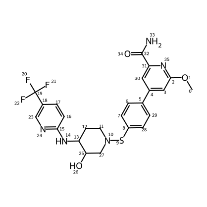 COc1cc(-c2ccc(SN3CCC(Nc4ccc(C(F)(F)F)cn4)C(O)C3)cc2)cc(C(N)=O)n1